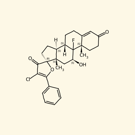 C[C@]12CCC(=O)C=C1CC[C@H]1[C@@H]3CC[C@@]4(OC(c5ccccc5)=C(Cl)C4=O)[C@@]3(C)C[C@H](O)C12F